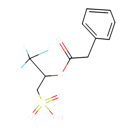 O=C(Cc1ccccc1)OC(CS(=O)(=O)O)C(F)(F)F